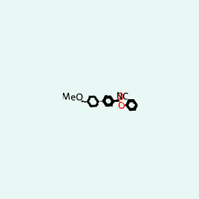 COC[C@H]1CC[C@H](c2ccc(C(=O)Oc3ccccc3C#N)cc2)CC1